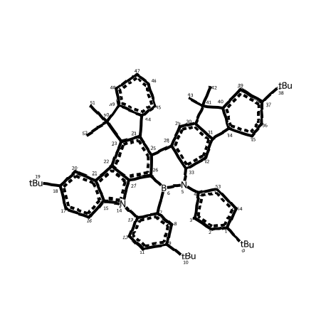 CC(C)(C)c1ccc(N2B3c4cc(C(C)(C)C)ccc4-n4c5ccc(C(C)(C)C)cc5c5c6c(c(c3c54)-c3cc4c(cc32)-c2ccc(C(C)(C)C)cc2C4(C)C)-c2ccccc2C6(C)C)cc1